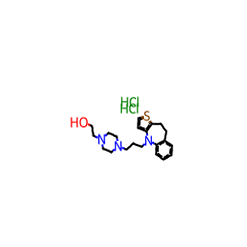 Cl.Cl.OCCN1CCN(CCCN2c3ccccc3CCc3sccc32)CC1